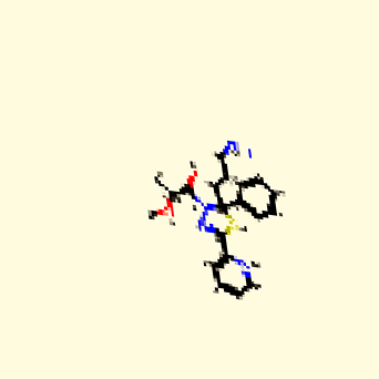 CO[C@@H](C)C(=O)N1N=C(c2ccccn2)SC1(CCCN)c1ccccc1